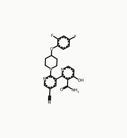 N#Cc1cnc(N2CCC(Oc3ccc(F)cc3F)CC2)c(-c2nccc(O)c2C(N)=O)c1